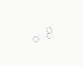 COc1ccc(CNc2c(I)cnc3cc(Br)ccc23)cc1